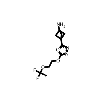 NC12CC(c3nnc(OCCOC(F)(F)F)o3)(C1)C2